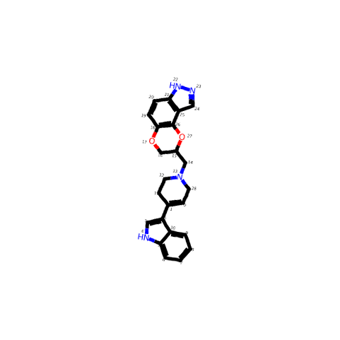 C1=C(c2c[nH]c3ccccc23)CCN(CC2COc3ccc4[nH]ncc4c3O2)C1